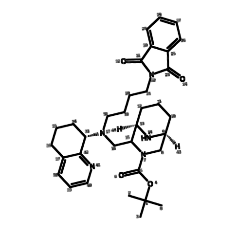 CC(C)(C)OC(=O)N1C[C@@H]2CCC[C@@H](N2)C1CN(CCCCN1C(=O)c2ccccc2C1=O)[C@H]1CCCc2cccnc21